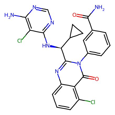 NC(=O)c1cccc(-n2c([C@@H](Nc3ncnc(N)c3Cl)C3CC3)nc3cccc(Cl)c3c2=O)c1